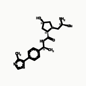 Cc1ncsc1-c1ccc([C@H](C)NC(=O)[C@@H]2C[C@@H](O)CN2C[C@@H](N)C(C)(C)C)cc1